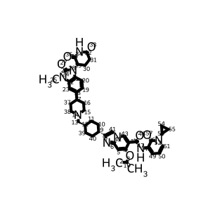 CC(C)Oc1cc2nc([C@H]3CC[C@H](CN4CCC(c5ccc6c(c5)n(C)c(=O)n6C5CCC(=O)NC5=O)CC4)CC3)cn2cc1C(=O)Nc1cccn(C2CC2)c1=O